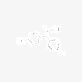 CC(O)C(c1ccc(Cl)cc1)c1ccc(C#N)cc1